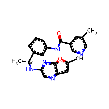 Cc1cncc(C(=O)Nc2cccc([C@H](C)Nc3cnc4cc(C)oc4n3)c2)c1